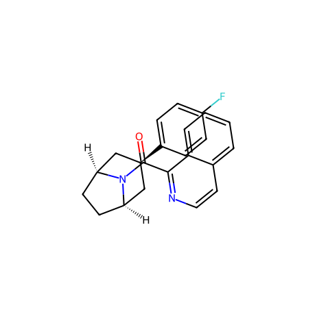 O=C(c1nccc2ccccc12)N1[C@@H]2CC[C@H]1C[C@@H](c1ccc(F)cc1)C2